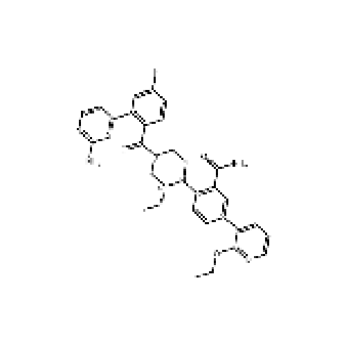 CCOc1ncccc1-c1ccc(N2CCN(C(=O)c3ccc(F)cc3-c3ccnc(N)c3)C[C@H]2CC)c(C(N)=O)c1